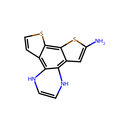 Nc1cc2c3c(c4ccsc4c2s1)NC=CN3